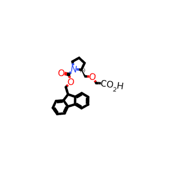 O=C(O)COC[C@@H]1CCCN1C(=O)OCC1c2ccccc2-c2ccccc21